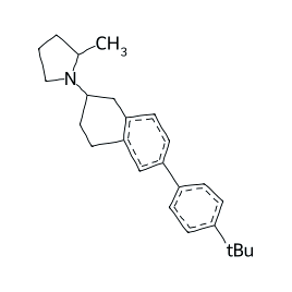 CC1CCCN1C1CCc2cc(-c3ccc(C(C)(C)C)cc3)ccc2C1